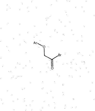 CC(=O)OCC(=O)Br